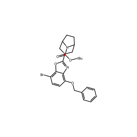 CC(C)(C)OC(=O)N1C2CCC1CN(c1nc3c(OCc4ccccc4)ccc(Br)c3o1)C2